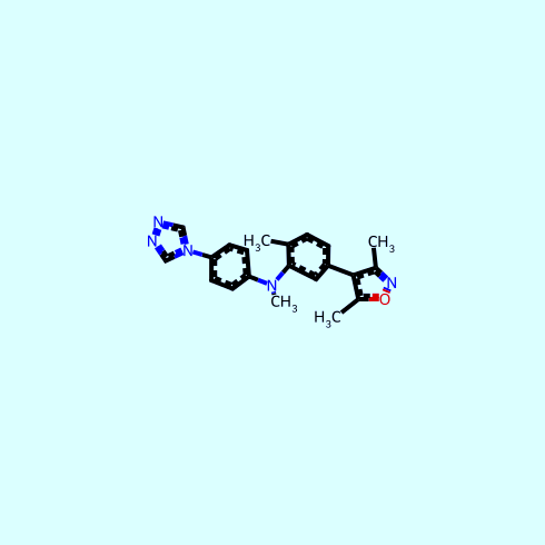 Cc1ccc(-c2c(C)noc2C)cc1N(C)c1ccc(-n2cnnc2)cc1